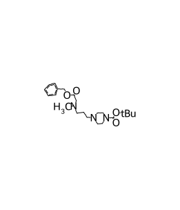 CN(CCCN1CCN(C(=O)OC(C)(C)C)CC1)CC(=O)OCc1ccccc1